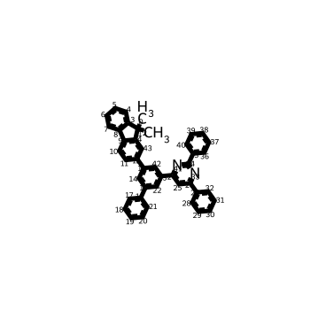 CC1(C)c2ccccc2-c2ccc(-c3cc(-c4ccccc4)cc(-c4cc(-c5ccccc5)nc(-c5ccccc5)n4)c3)cc21